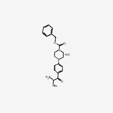 CC(C)(C)C(N)C(=O)c1ccc(N2CCN(C(=O)OCc3ccccc3)CC2)cc1.Cl